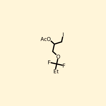 CCC(F)(F)OCC(CI)OC(C)=O